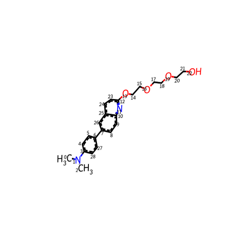 CN(C)c1ccc(-c2ccc3nc(OCCOCCOCCO)ccc3c2)cc1